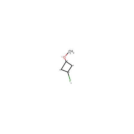 COC1CC(F)C1